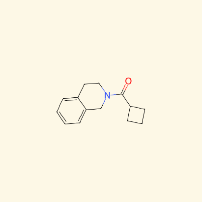 O=C(C1CCC1)N1CCc2ccccc2C1